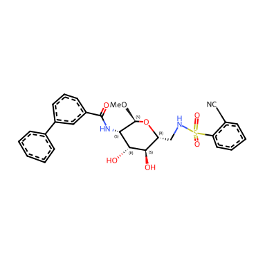 CO[C@H]1O[C@H](CNS(=O)(=O)c2ccccc2C#N)[C@@H](O)[C@H](O)[C@@H]1NC(=O)c1cccc(-c2ccccc2)c1